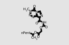 CCCCCC(C)OC(=O)COC(=O)NC(=O)c1ncn2c(=O)n(C)nnc12